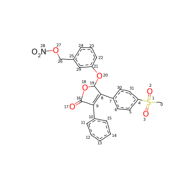 CS(=O)(=O)c1ccc(C2=C(c3ccccc3)C(=O)OC2Oc2cccc(CO[N+](=O)[O-])c2)cc1